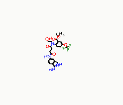 COC(=O)c1cc(OC(F)(F)F)ccc1N(CCO)C(=O)CCC(=O)Nc1ccc2c(c1)CNC2=N